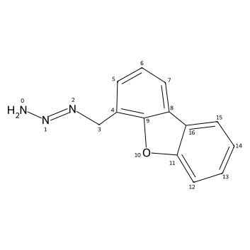 NN=NCc1cccc2c1oc1ccccc12